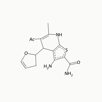 CC(=O)C1=C(C)Nc2sc(C(N)=O)c(N)c2C1C1CC=CO1